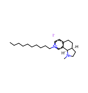 CCCCCCCCCC[n+]1ccc2c(c1)[C@H]1[C@@H](CC2)CCN1C.[I-]